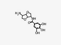 NC1COC2C(NC(=O)c3cc(O)c(O)c(O)c3)COC12